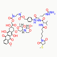 COc1cccc2c1C(=O)c1c(O)c3c(c(O)c1C2=O)C[C@@](O)(C(=O)COC(=O)N(C)CCN(C)C(=O)OCc1ccc(NC(=O)[C@H](CCCNC(N)=O)NC(=O)[C@@H](NC(=O)CCCCCN2C(=O)CC(SC)C2=O)C(C)C)cc1)C[C@@H]3O[C@H]1C[C@H]2[C@H](O[C@@H]3[C@@H](OC)OCCN32)[C@H](C)O1